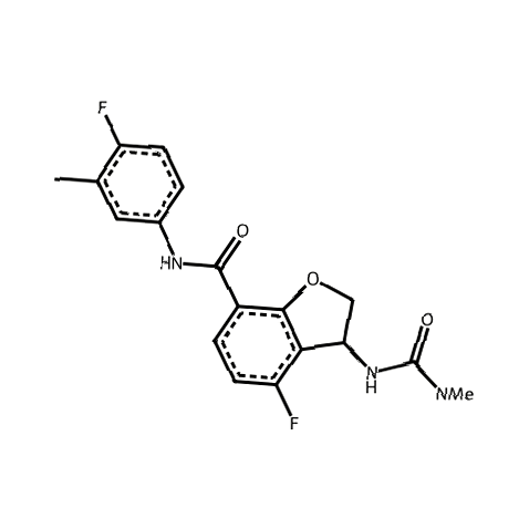 CNC(=O)NC1COc2c(C(=O)Nc3ccc(F)c(C)c3)ccc(F)c21